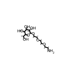 NCCOCCOCCOC1OC(CO)C(O)C(O)C1O